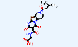 CC(C)CC(=O)N1CCc2c(sc3nc(O)c(C(=O)NCC(=O)O)c(=O)n23)C1